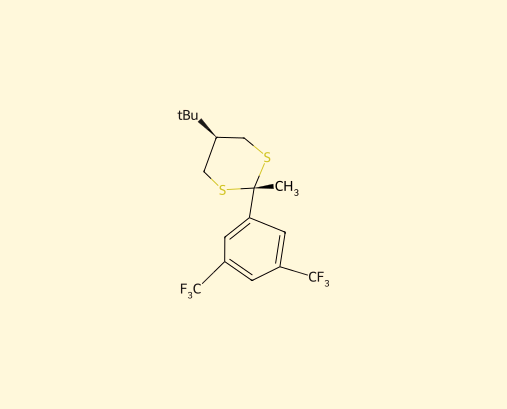 CC(C)(C)[C@H]1CS[C@](C)(c2cc(C(F)(F)F)cc(C(F)(F)F)c2)SC1